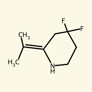 CC(C)=C1CC(F)(F)CCN1